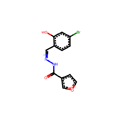 O=C(N/N=C\c1ccc(Br)cc1O)c1ccoc1